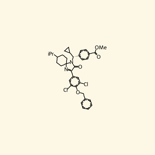 COC(=O)c1ccc([C@@H](C2CC2)N2C(=O)C(c3cc(Cl)c(OCc4ccccc4)c(Cl)c3)=NC23CCC(C(C)C)CC3)cc1